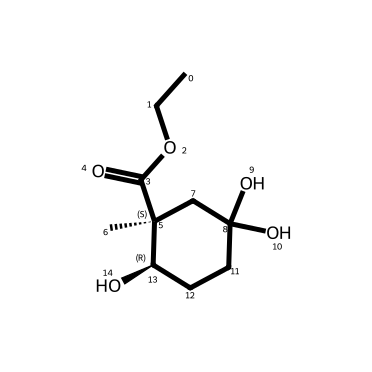 CCOC(=O)[C@@]1(C)CC(O)(O)CC[C@H]1O